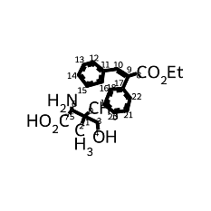 CC(C)(CO)C(N)C(=O)O.CCOC(=O)C(=Cc1ccccc1)c1ccccc1